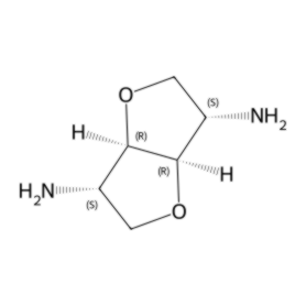 N[C@H]1CO[C@H]2[C@@H]1OC[C@@H]2N